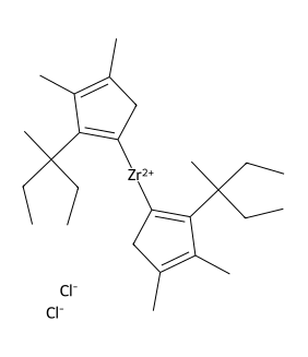 CCC(C)(CC)C1=[C]([Zr+2][C]2=C(C(C)(CC)CC)C(C)=C(C)C2)CC(C)=C1C.[Cl-].[Cl-]